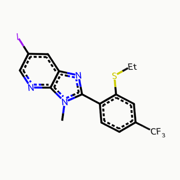 CCSc1cc(C(F)(F)F)ccc1-c1nc2cc(I)cnc2n1C